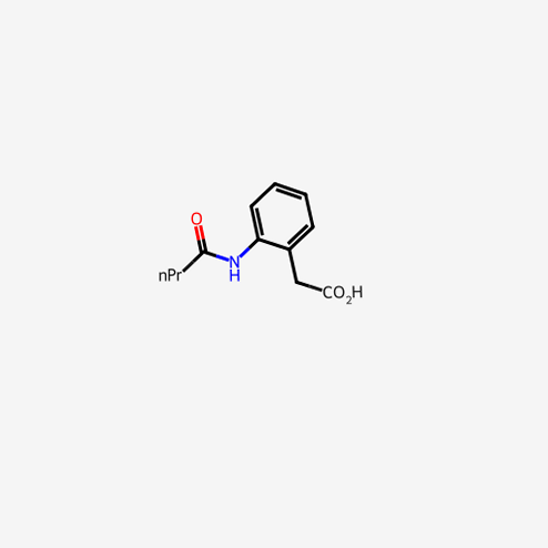 CCCC(=O)Nc1ccccc1CC(=O)O